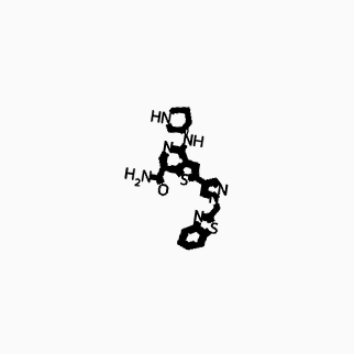 NC(=O)c1cnc(N[C@H]2CCCNC2)c2cc(-c3cnn(Cc4nc5ccccc5s4)c3)sc12